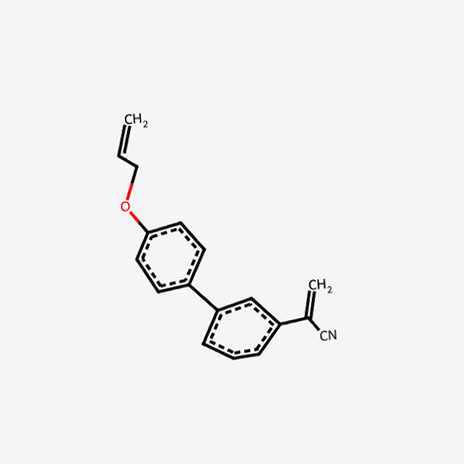 C=CCOc1ccc(-c2cccc(C(=C)C#N)c2)cc1